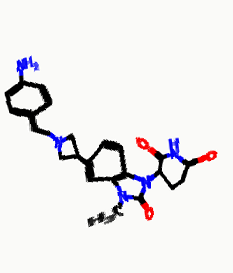 Cn1c(=O)n(C2CCC(=O)NC2=O)c2ccc(C3CN(Cc4ccc(N)cc4)C3)cc21